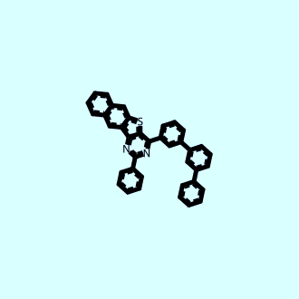 c1ccc(-c2cccc(-c3cccc(-c4nc(-c5ccccc5)nc5c4sc4cc6ccccc6cc45)c3)c2)cc1